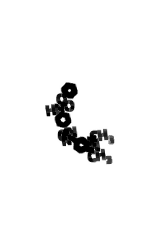 Cc1nn(C)c2cc(-c3noc([C@H]4CC[C@H](NC(=O)Oc5ccccc5)CC4)n3)ccc12